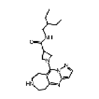 CCC(CC)CNC(=O)C1CN(c2c3c(nc4ccnn24)CCNCC3)C1